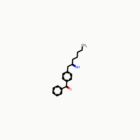 CCCCCC(=N)Cc1ccc(C(=O)c2ccccc2)cc1